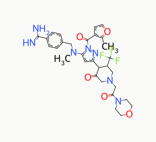 Cc1occc1C(=O)n1nc(C2C(=O)CN(CC(=O)N3CCOCC3)CC2C(F)(F)F)cc1N(C)Cc1ccc(C(=N)N)cc1